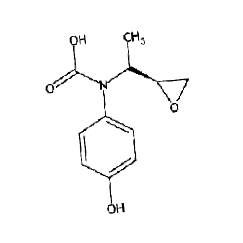 CC([C@H]1CO1)N(C(=O)O)c1ccc(O)cc1